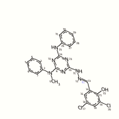 CN(c1ccccc1)c1nc(N/N=C/c2cc(Cl)cc(Cl)c2O)nc(Nc2ccccc2)n1